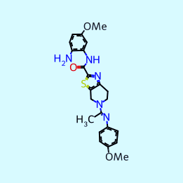 COc1ccc(N=C(C)N2CCc3nc(C(=O)Nc4cc(OC)ccc4N)sc3C2)cc1